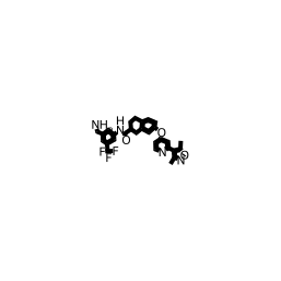 Cc1noc(C)c1-c1cc(Oc2ccc3c(c2)CC(C(=O)Nc2cc(CN)cc(C(F)(F)F)c2)CC3)ccn1